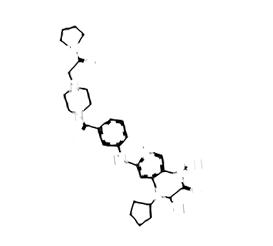 CC1C(=O)N(C)c2cnc(Nc3cccc(C(=O)N4CCN(CC(=O)N5CCCC5)CC4)c3)cc2N1C1CCCC1